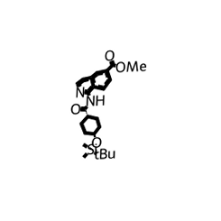 COC(=O)c1ccc2c(NC(=O)[C@H]3CC[C@H](O[Si](C)(C)C(C)(C)C)CC3)nccc2c1